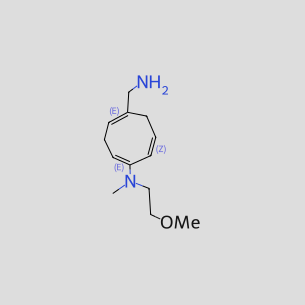 COCCN(C)C1=C/C/C=C(/CN)C/C=C\1